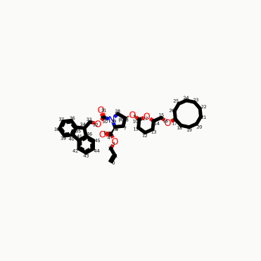 C=CCOC(=O)[C@@H]1C[C@@H](OC2CCCC(COC3CCCCCCCCC3)O2)CN1C(=O)OCC1c2ccccc2-c2ccccc21